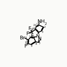 Nc1ccc(-n2ncc3cc(F)c(Br)cc32)c(C(F)(F)F)c1